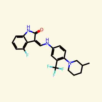 CC1CCCN(c2ccc(NC=C3C(=O)Nc4cccc(F)c43)cc2C(F)(F)F)C1